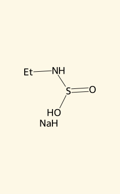 CCNS(=O)O.[NaH]